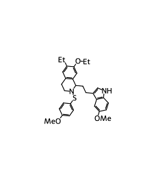 CCOc1cc2c(cc1CC)CCN(Sc1ccc(OC)cc1)C2CCc1c[nH]c2ccc(OC)cc12